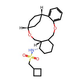 O=S(=O)(CC1CCC1)N[C@H]1CCCC2COc3ccccc3[C@H]3CC[C@H](CC3)OC[C@H]21